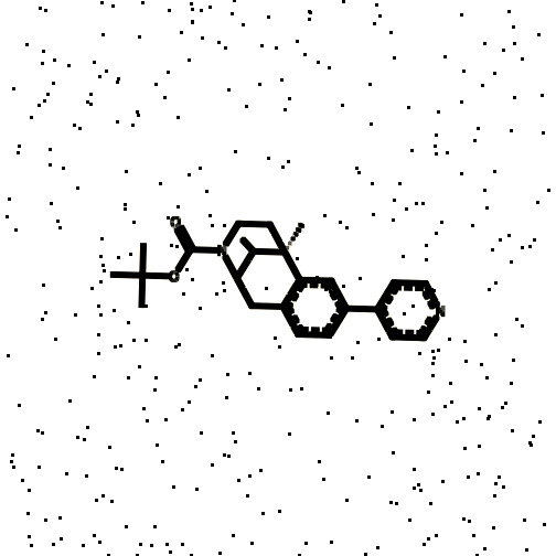 CC1C2Cc3ccc(-c4ccncc4)cc3[C@]1(C)CCN2C(=O)OC(C)(C)C